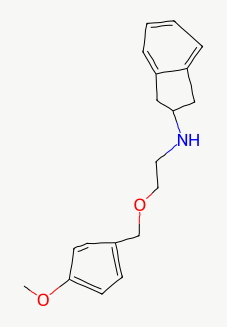 COc1ccc(COCCNC2Cc3ccccc3C2)cc1